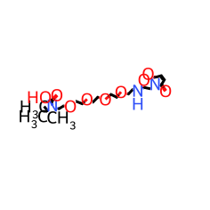 CC(C)(C)N(CCOCCOCCOCCOCCNC(=O)CN1C(=O)C=CC1=O)C(=O)O